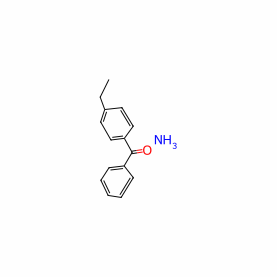 CCc1ccc(C(=O)c2ccccc2)cc1.N